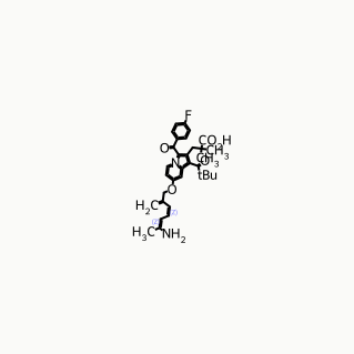 C=C(/C=C\C=C(\C)N)COc1ccn2c(C(=O)c3ccc(F)cc3)c(CC(C)(C)C(=O)O)c(C(=O)C(C)(C)C)c2c1